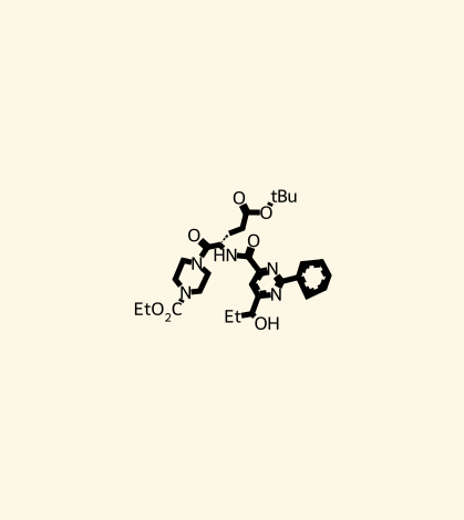 CCOC(=O)N1CCN(C(=O)[C@H](CCC(=O)OC(C)(C)C)NC(=O)c2cc(C(O)CC)nc(-c3ccccc3)n2)CC1